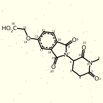 CN1C(=O)CCC(N2C(=O)c3ccc(OCC(=O)O)cc3C2=O)C1=O